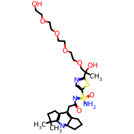 CC1(C)CCc2c1nc1c(c2CC(=O)N=S(N)(=O)c2cnc(C(C)(O)COCCOCCOCCOCCO)s2)CCC1